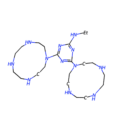 [CH2]CNc1nc(N2CCNCCNCCNCC2)nc(N2CCNCCNCCNCC2)n1